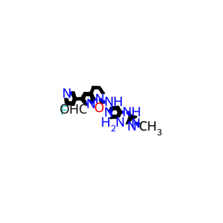 Cn1cc(Nc2cc(NC(=O)N3CCCc4cc(-c5cncc(F)c5)c(C=O)nc43)ncc2N)cn1